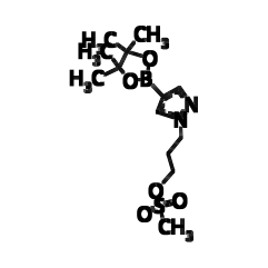 CC1(C)OB(c2cnn(CCCOS(C)(=O)=O)c2)OC1(C)C